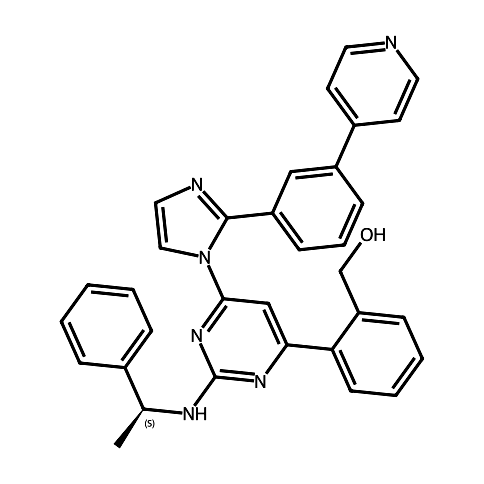 C[C@H](Nc1nc(-c2ccccc2CO)cc(-n2ccnc2-c2cccc(-c3ccncc3)c2)n1)c1ccccc1